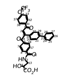 O=C(C=C(C(=O)c1ccc(C(=O)NCC(O)C(=O)O)cc1)c1ccc(-c2ccccc2)cc1)c1ccc(OC(F)(F)F)cc1